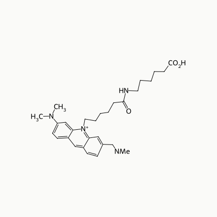 CNCc1ccc2cc3ccc(N(C)C)cc3[n+](CCCCCC(=O)NCCCCCC(=O)O)c2c1